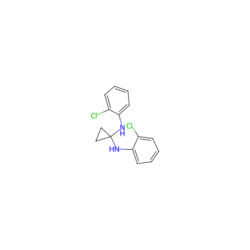 Clc1ccccc1NC1(Nc2ccccc2Cl)CC1